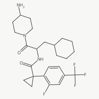 NC1CCN(C(=O)C(CC2CCCCC2)NC(=O)C2(c3ccc(C(F)(F)F)cc3F)CC2)CC1